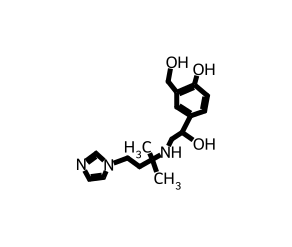 CC(C)(CCn1ccnc1)NCC(O)c1ccc(O)c(CO)c1